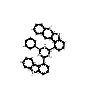 c1ccc(-c2nc(-c3cccc4oc5ccccc5c34)nc(-c3cccc4oc5nc6ccccc6cc5c34)n2)cc1